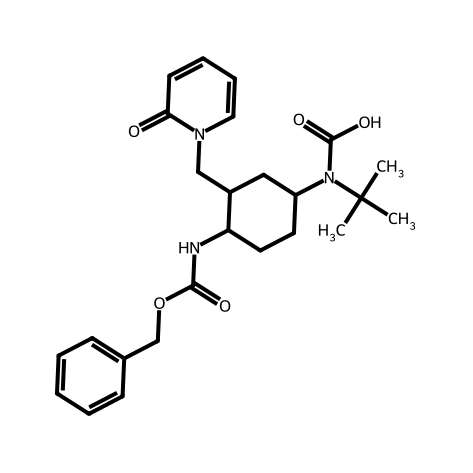 CC(C)(C)N(C(=O)O)C1CCC(NC(=O)OCc2ccccc2)C(Cn2ccccc2=O)C1